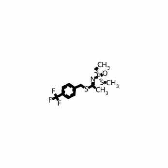 CSP(=O)(N=C(C)SCc1ccc(C(F)(F)F)cc1)SC